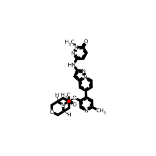 CC(=O)N1[C@@H]2COC[C@H]1C[C@@H](Oc1cnc(C)cc1-c1ccn3nc(Nc4ccc(=O)n(C)n4)cc3c1)C2